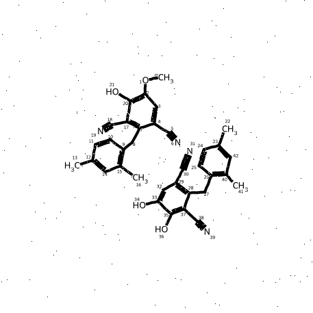 COc1cc(C#N)c(Cc2ccc(C)cc2C)c(C#N)c1O.Cc1ccc(Cc2c(C#N)cc(O)c(O)c2C#N)c(C)c1